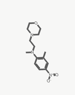 Cc1cc([N+](=O)[O-])ccc1N(C)CCN1CCOCC1